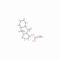 CCCCC(=O)Oc1ccccc1C(=O)c1ccccc1CCCC